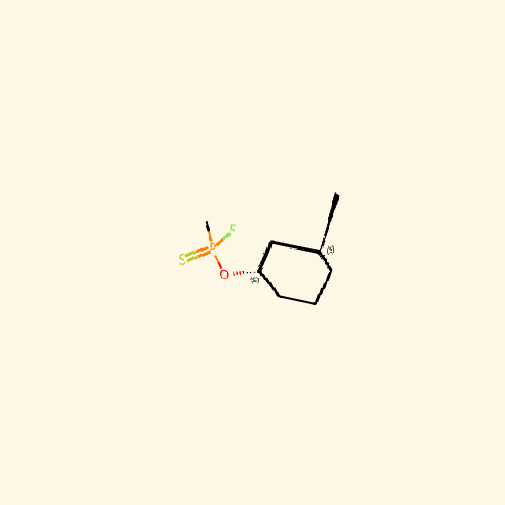 C[C@H]1CCC[C@H](OP(C)(F)=S)C1